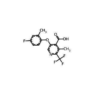 Cc1cc(F)ccc1Oc1cnc(C(F)(F)F)c(C)c1C(=O)O